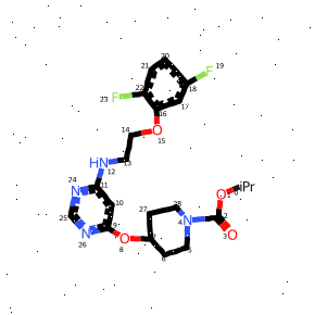 CC(C)OC(=O)N1CCC(Oc2cc(NCCOc3cc(F)ccc3F)ncn2)CC1